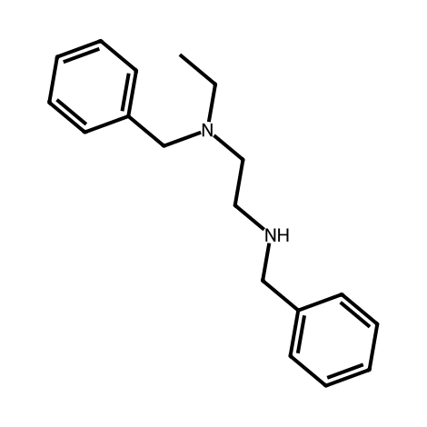 CCN(CCNCc1ccccc1)Cc1ccccc1